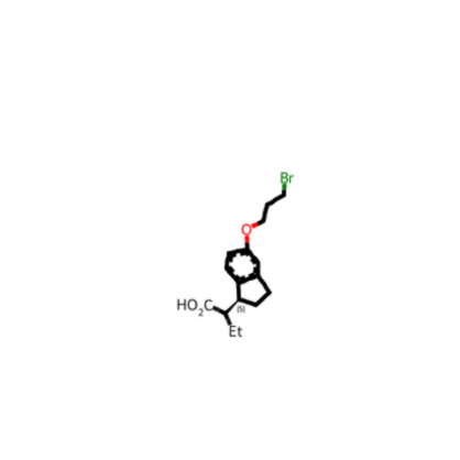 CCC(C(=O)O)[C@@H]1CCc2cc(OCCCBr)ccc21